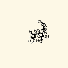 Cc1cnc(C#N)c(S[C@H]2OC(CO)[C@H](O)C(n3cc(-c4nc(Cl)cs4)nn3)C2O)c1